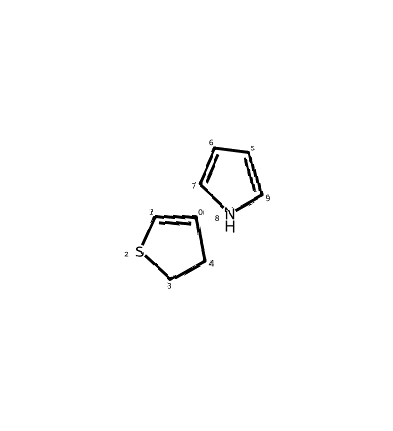 C1=CSCC1.c1cc[nH]c1